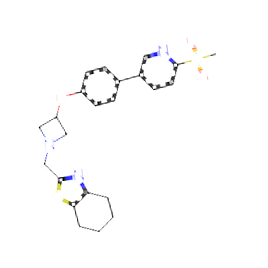 CS(=O)(=O)c1ccc(-c2ccc(OC3CN(Cc4nc5c(s4)CCCC5)C3)cc2)cn1